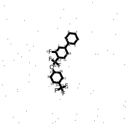 FC1CC(C2CCCCC2)CCC1C(F)(F)OC1CCC(C(F)(F)F)CC1